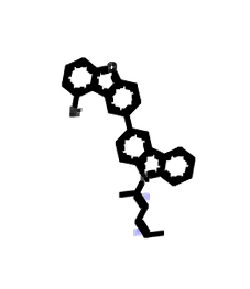 C/C=C\C=C(/C)n1c2ccccc2c2cc(-c3ccc4oc5cccc(Br)c5c4c3)ccc21